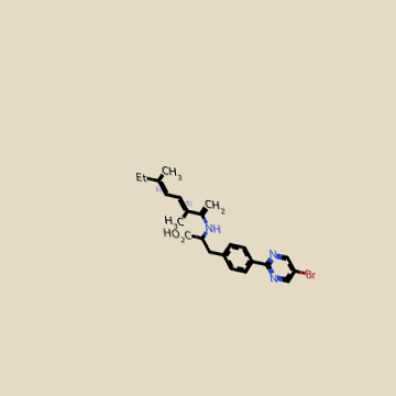 C=C(NC(Cc1ccc(-c2ncc(Br)cn2)cc1)C(=O)O)/C(C)=C/C=C(\C)CC